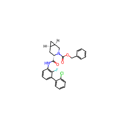 O=C(Nc1cccc(-c2ccccc2Cl)c1F)[C@@H]1C[C@H]2C[C@H]2CN1C(=O)OCc1ccccc1